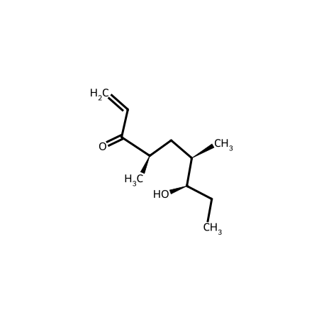 C=CC(=O)[C@H](C)C[C@@H](C)[C@H](O)CC